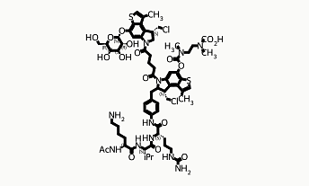 CC(=O)N[C@@H](CCCCN)C(=O)N[C@H](C(=O)N[C@@H](CCCNC(N)=O)C(=O)Nc1ccc(CC2[C@@H](CCl)c3c(cc(OC(=O)N(C)CCN(C)C(=O)O)c4scc(C)c34)N2C(=O)CCCC(=O)N2C[C@@H](CCl)c3c2cc(O[C@@H]2O[C@H](CO)[C@H](O)[C@H](O)[C@H]2O)c2scc(C)c32)cc1)C(C)C